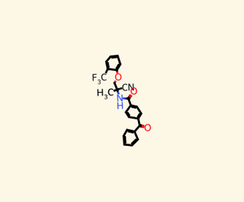 CC(C#N)(COc1ccccc1C(F)(F)F)NC(=O)c1ccc(C(=O)c2ccccc2)cc1